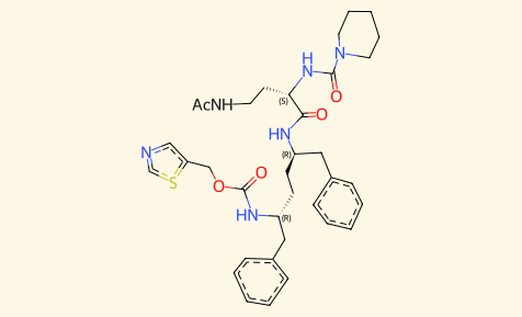 CC(=O)NCC[C@H](NC(=O)N1CCCCC1)C(=O)N[C@H](CC[C@H](Cc1ccccc1)NC(=O)OCc1cncs1)Cc1ccccc1